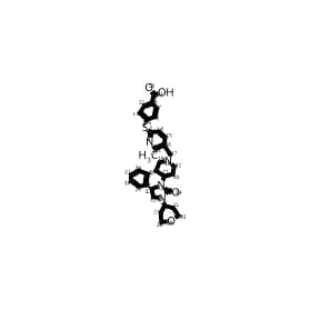 Cc1nc(Sc2ccc(C(=O)O)cc2)ccc1CN1CCC(N2C(=O)N(C3CCOCC3)C[C@H]2c2ccccc2)CC1